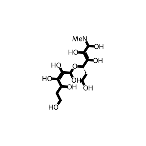 CNC(O)/C(O)=C(\O)[C@H](CCO)OC(O)/C(O)=C(/O)C(O)CCO